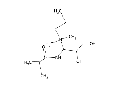 C=C(C)C(=O)NC(C(O)CO)[N+](C)(C)CCC